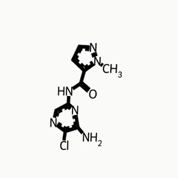 Cn1nccc1C(=O)Nc1cnc(Cl)c(N)n1